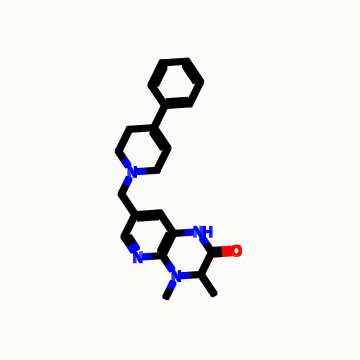 CC1C(=O)Nc2cc(CN3CC=C(c4ccccc4)CC3)cnc2N1C